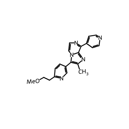 COCCc1ccc(-c2c(C)nc3c(-c4ccncc4)nccn23)cn1